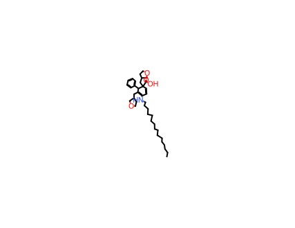 CCCCCCCCCCCCCCCCNC1=C(CC2CCOC2)C(c2ccccc2)C(CC2CCOC2)(C(=O)O)C=C1